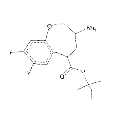 CC(C)(C)OC(=O)C1CC(N)COc2cc(F)c(F)cc21